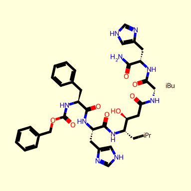 CC[C@H](C)[C@H](NC(=O)C[C@H](O)[C@H](CC(C)C)NC(=O)[C@H](Cc1c[nH]cn1)NC(=O)[C@H](Cc1ccccc1)NC(=O)OCc1ccccc1)C(=O)N[C@@H](Cc1c[nH]cn1)C(N)=O